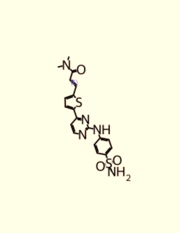 CN(C)C(=O)/C=C/c1ccc(-c2ccnc(Nc3ccc(S(N)(=O)=O)cc3)n2)s1